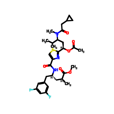 COC(=O)[C@@H](C)C[C@H](Cc1cc(F)cc(F)c1)NC(=O)c1csc([C@@H](CC(C(C)C)N(C)C(=O)CC2CC2)OC(C)=O)n1